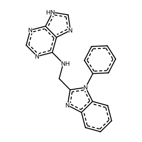 c1ccc(-n2c(CNc3ncnc4[nH]cnc34)nc3ccccc32)cc1